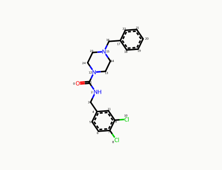 O=C(NCc1ccc(Cl)c(Cl)c1)N1CCN(Cc2ccccc2)CC1